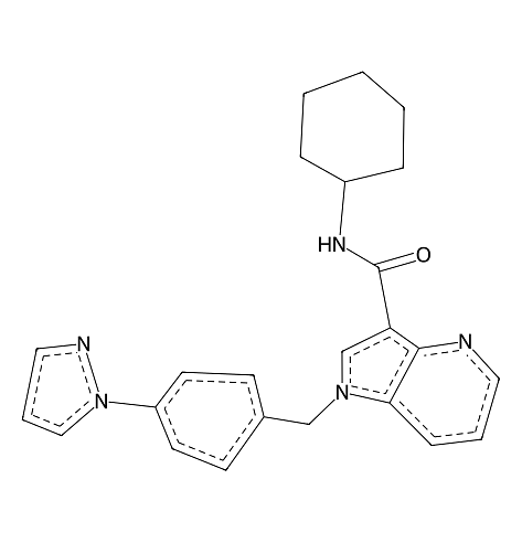 O=C(NC1CCCCC1)c1cn(Cc2ccc(-n3cccn3)cc2)c2cccnc12